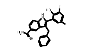 N=C(N)c1ccc2[nH]c(-c3cc(F)cc(F)c3O)c(Cc3ccccc3)c2c1